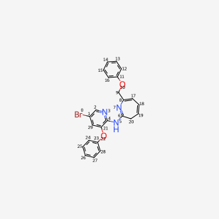 Brc1cnc(NC2=NC(COc3ccccc3)=CC=CC2)c(Oc2ccccc2)c1